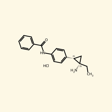 CC[C@]1(N)C[C@H]1c1ccc(NC(=O)c2ccccc2)cc1.Cl